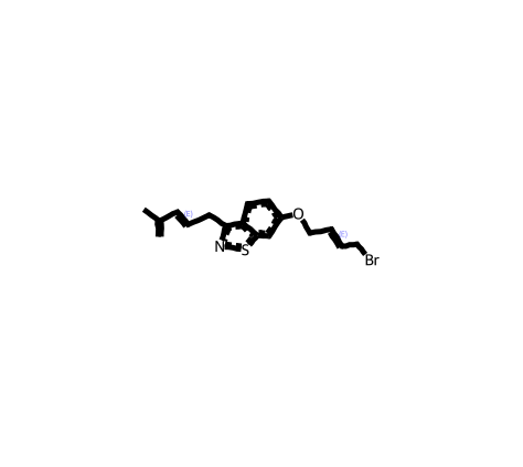 C=C(C)/C=C/Cc1nsc2cc(OC/C=C/CBr)ccc12